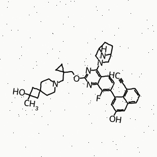 C#Cc1cccc2cc(O)cc(-c3ccc4c(N5CC6CCC(C5)N6)nc(OCC5(CN6CCC7(CC6)CC(C)(O)C7)CC5)nc4c3F)c12